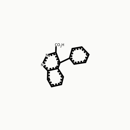 O=C(O)c1nnc2ccccc2c1-c1ccccc1